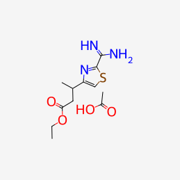 CC(=O)O.CCOC(=O)CC(C)c1csc(C(=N)N)n1